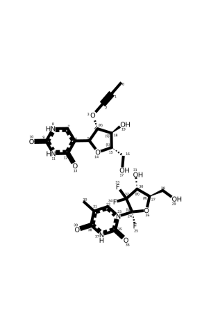 CC#CO[C@H]1C(c2c[nH]c(=O)[nH]c2=O)O[C@@H](CO)[C@@H]1O.Cc1cn([C@]2(F)O[C@H](CO)[C@@H](O)C2(F)F)c(=O)[nH]c1=O